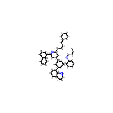 C/C=C\C=N/c1ccccc1-c1cc(-c2cc(C/C=C\C=C3\C=CC=CC3)nc(-c3cccc4ccccc34)c2)cc(-c2cccc3cccnc23)c1